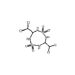 O=S1(=O)NC(C(Cl)Cl)NS(=O)(=O)NC(C(Cl)Cl)N1